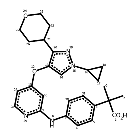 CC(C)(C(=O)O)c1ccc(Nc2cc(Oc3cn(C4CC4)nc3C3CCOCC3)ccn2)cc1